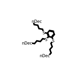 CCCCCCCCCCCCCCSc1c[c]cc(SCCCCCCCCCCCCCC)c1SCCCCCCCCCCCCCC